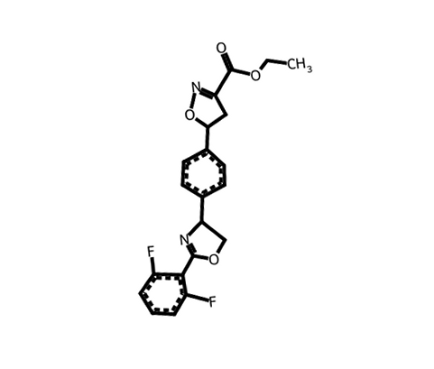 CCOC(=O)C1=NOC(c2ccc(C3COC(c4c(F)cccc4F)=N3)cc2)C1